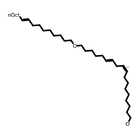 CCCCCCCCC=CCCCCCCCCOCCCCCC=CC/C=C\CCCCCCCC[O]